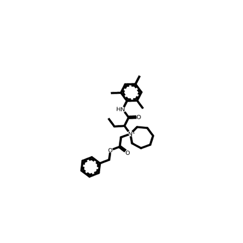 CCC(C(=O)Nc1c(C)cc(C)cc1C)[N+]1(CC(=O)OCc2ccccc2)CCCCCC1